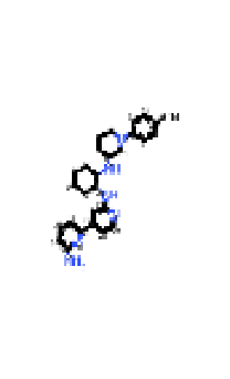 N#Cc1ccc(N2CCC[C@H](N[C@@H]3CCCC[C@H]3Nc3cc(-c4cccc(N)n4)ccn3)C2)cc1